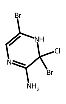 NC1=NC=C(Br)NC1(Cl)Br